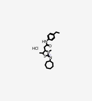 CCc1ccc(NC(=O)CC2C(C)S/C(=N\C3CCCCCC3)N2C)cc1.Cl